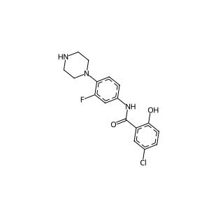 O=C(Nc1ccc(N2CCNCC2)c(F)c1)c1cc(Cl)ccc1O